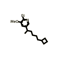 CCc1ncc(C(C)CCCCC2CCC2)cc1OC